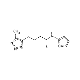 Cn1nnnc1CCCC(=S)Nc1ccco1